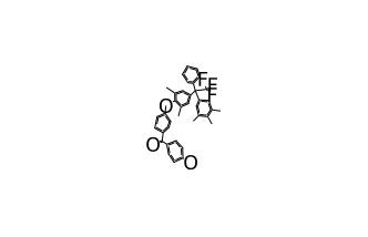 COc1ccc(C(=O)c2ccc(Oc3c(C)cc(C(c4ccccc4)(c4cc(C)c(C)c(C)c4)C(F)(F)F)cc3C)cc2)cc1